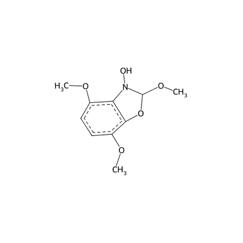 COc1ccc(OC)c2c1OC(OC)N2O